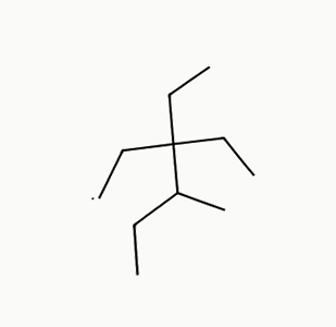 [CH2]CC(CC)(CC)C(C)CC